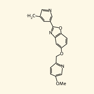 [CH2]c1cncc(-c2nc3cc(OCc4ccc(OC)cn4)ccc3o2)c1